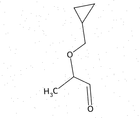 CC(C=O)OCC1CC1